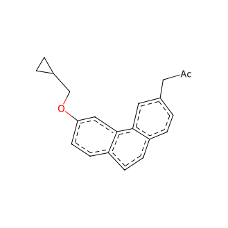 CC(=O)Cc1ccc2ccc3ccc(OCC4CC4)cc3c2c1